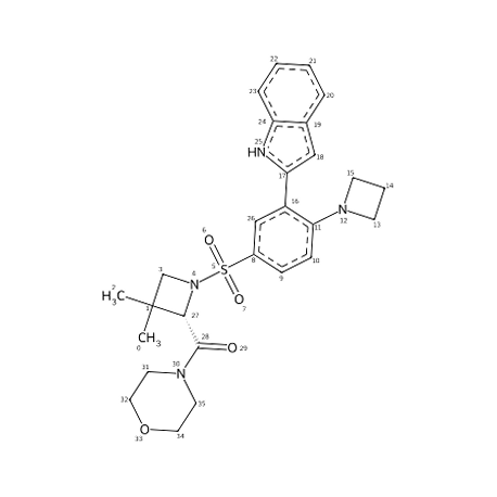 CC1(C)CN(S(=O)(=O)c2ccc(N3CCC3)c(-c3cc4ccccc4[nH]3)c2)[C@@H]1C(=O)N1CCOCC1